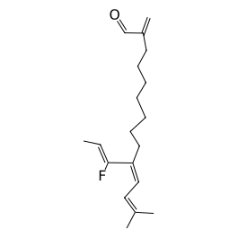 C=C(C=O)CCCCCCCC(=C/C=C(C)C)/C(F)=C/C